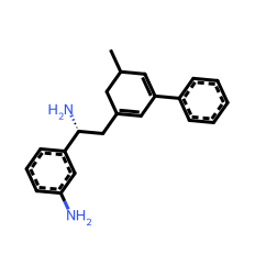 CC1C=C(c2ccccc2)C=C(C[C@@H](N)c2cccc(N)c2)C1